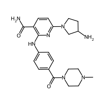 CN1CCN(C(=O)c2ccc(Nc3nc(N4CCC(N)C4)ccc3C(N)=O)cc2)CC1